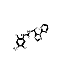 Cc1cc(Cl)c(NC(=O)NC(C)c2ncnn2-c2ncccn2)cc1Br